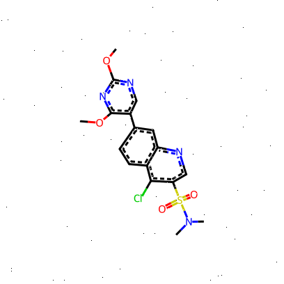 COc1ncc(-c2ccc3c(Cl)c(S(=O)(=O)N(C)C)cnc3c2)c(OC)n1